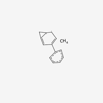 C.[CH]1C=C(c2ccccc2)C=C2C[C]12